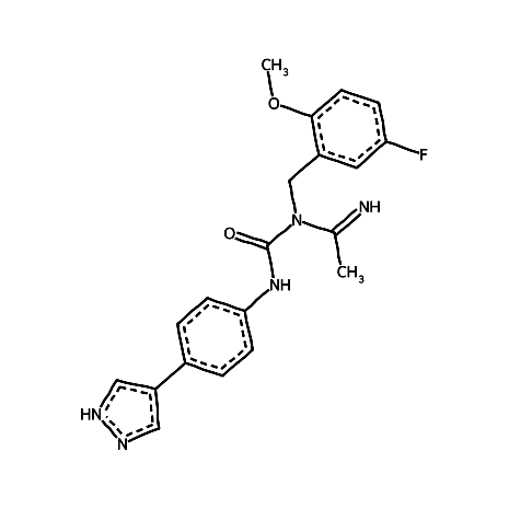 COc1ccc(F)cc1CN(C(C)=N)C(=O)Nc1ccc(-c2cn[nH]c2)cc1